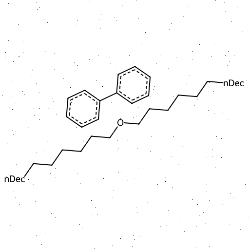 CCCCCCCCCCCCCCCCOCCCCCCCCCCCCCCCC.c1ccc(-c2ccccc2)cc1